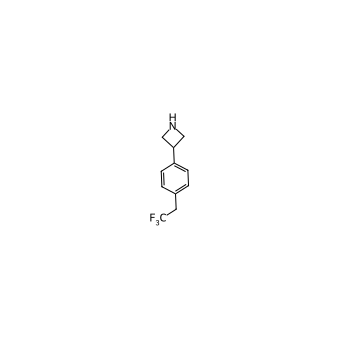 FC(F)(F)Cc1ccc(C2CNC2)cc1